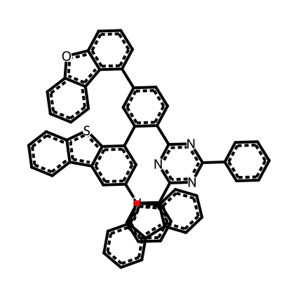 c1ccc(-c2nc(-c3ccccc3)nc(-c3ccc(-c4cccc5oc6ccccc6c45)cc3-c3cc(-n4c5ccccc5c5ccccc54)cc4c3sc3ccccc34)n2)cc1